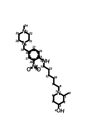 CC1CC(O)CCN1CCCCCCNc1ccc(CN2CCN(C)CC2)cc1[N+](=O)[O-]